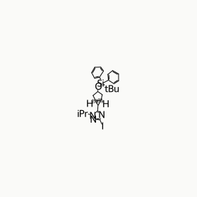 CC(C)n1nc(I)nc1C1[C@H]2CC(O[Si](c3ccccc3)(c3ccccc3)C(C)(C)C)C[C@@H]12